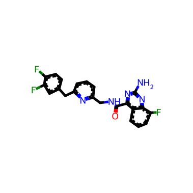 Nc1nc(C(=O)NCc2cccc(Cc3ccc(F)c(F)c3)n2)c2cccc(F)c2n1